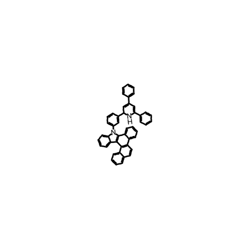 C1=C(c2ccccc2)C=C(c2ccccc2)NC1c1cccc(-n2c3ccccc3c3c4c5ccccc5ccc4c4ccccc4c32)c1